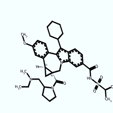 CCN(C)CC1CCCN1C(=O)[C@]12C[C@H]1c1cc(OC)ccc1-c1c(C3CCCCC3)c3ccc(C(=O)NS(=O)(=O)C(C)C)cc3n1C2